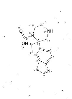 CCC1(c2ccc3ncsc3c2)CNCCN1C(=O)O